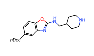 CCCCCCCCCCc1ccc2oc(NCC3CCNCC3)nc2c1